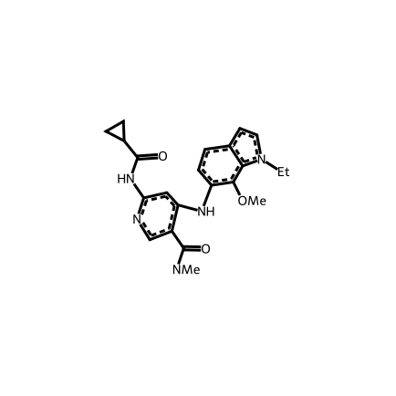 CCn1ccc2ccc(Nc3cc(NC(=O)C4CC4)ncc3C(=O)NC)c(OC)c21